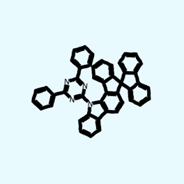 c1ccc(-c2nc(-c3ccccc3)nc(-n3c4ccccc4c4ccc5c(c43)-c3ccccc3C53c4ccccc4-c4ccccc43)n2)cc1